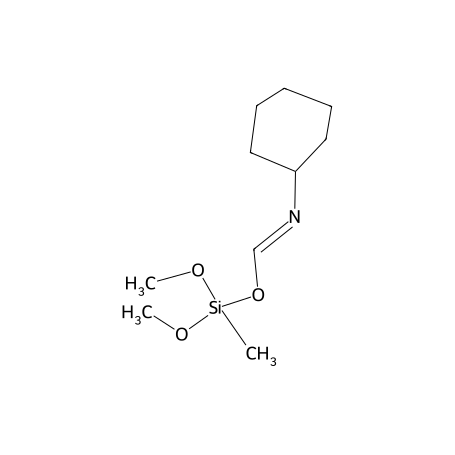 CO[Si](C)(OC)OC=NC1CCCCC1